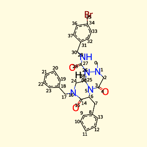 CN1CC(=O)N2C(Cc3ccccc3)C(=O)N(Cc3ccccc3)C[C@H]2N1C(=O)NCc1ccc(Br)cc1